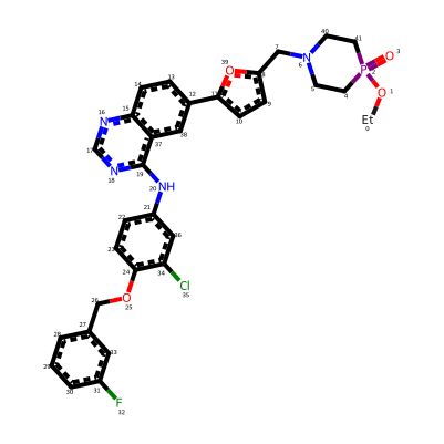 CCOP1(=O)CCN(Cc2ccc(-c3ccc4ncnc(Nc5ccc(OCc6cccc(F)c6)c(Cl)c5)c4c3)o2)CC1